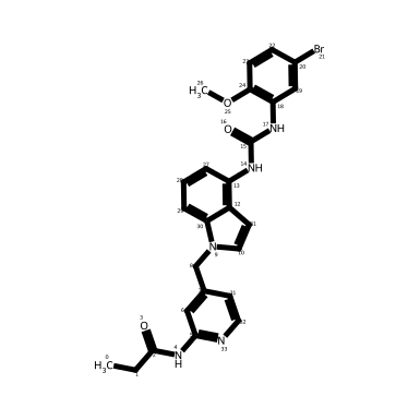 CCC(=O)Nc1cc(Cn2ccc3c(NC(=O)Nc4cc(Br)ccc4OC)cccc32)ccn1